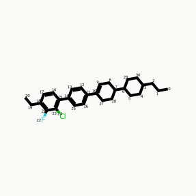 CCCC1CCC(C2CC=C(c3ccc(-c4ccc(CC)c(F)c4Cl)cc3)CC2)CC1